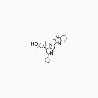 Cc1nc2c(nc1-c1cn3nc(C4CCCC4)cc(NCC(C)(C)O)c3n1)CCCC2